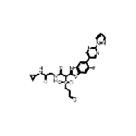 O=CCCS(=O)(=O)C(C(=O)NCC(=O)NC1CC1)c1nc2cc(-c3cnc(-n4cccn4)nc3)c(F)cc2s1